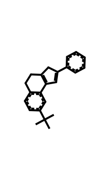 CC(C)(C)c1ccc2c(c1)C1=C(CC2)CC(c2ccccc2)=C1